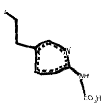 O=C(O)Nc1ccc(CCI)cn1